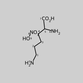 NCCCCC(N)C(=O)O.O=[N+]([O-])O